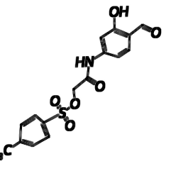 Cc1ccc(S(=O)(=O)OCC(=O)Nc2ccc(C=O)c(O)c2)cc1